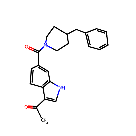 O=C(c1ccc2c(C(=O)C(F)(F)F)c[nH]c2c1)N1CCC(Cc2ccccc2)CC1